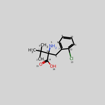 CC(C)(C)C(N)(Cc1ccccc1Cl)C(=O)O